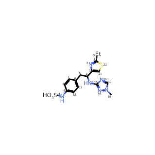 CCc1nc(C(Cc2ccc(NS(=O)(=O)O)cc2)Nc2n[c]n(C)n2)cs1